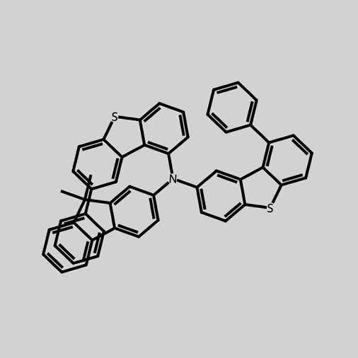 CC1(C)c2ccccc2-c2ccc(N(c3ccc4sc5cccc(-c6ccccc6)c5c4c3)c3cccc4sc5ccc(-c6ccccc6)cc5c34)cc21